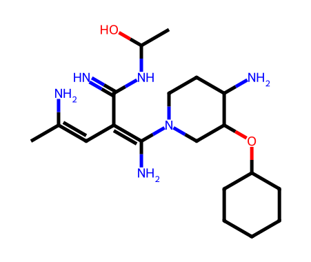 C/C(N)=C/C(C(=N)NC(C)O)=C(\N)N1CCC(N)C(OC2CCCCC2)C1